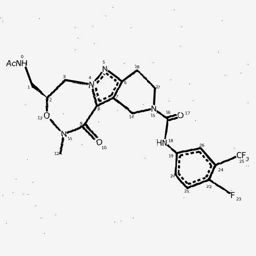 CC(=O)NC[C@H]1Cn2nc3c(c2C(=O)N(C)O1)CN(C(=O)Nc1ccc(F)c(C(F)(F)F)c1)CC3